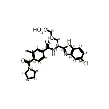 Cc1cc(C(=O)N[C@@H](COCC(=O)O)c2nc3cc(Cl)ccc3[nH]2)ccc1C(=O)N1CCCC1